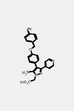 CCOC(=O)Cn1nc(-c2ccncc2)c(-c2ccc(OCc3ccc(C(C)C)cc3)cc2)c1N